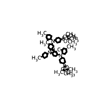 Cc1ccc(-n2c3ccc(N(c4ccc(B5OC(C)(C)C(C)(C)O5)cc4)c4ccc(C)cc4C)cc3c3cc(N(c4ccc(B5OC(C)(C)C(C)(C)O5)cc4)c4ccc(C)cc4C)ccc32)cc1